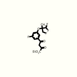 CCOC(=O)C(=O)CC(=O)c1cc(F)cc(OC(C)(CF)C(F)F)c1